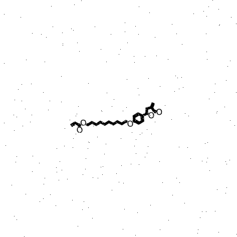 C=CC(=O)OCCCCCCCCCCOc1ccc(C2CC(=C)C(=O)O2)cc1